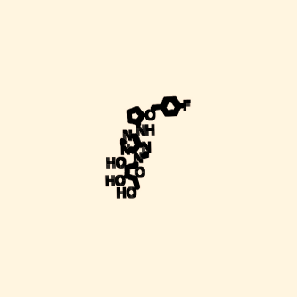 OCC1OC(n2cnc3c(NC4CCC[C@H]4OCc4ccc(F)cc4)ncnc32)[C@H](O)[C@@H]1O